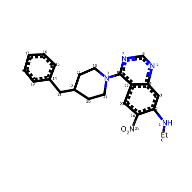 CCNc1cc2ncnc(N3CCC(Cc4ccccc4)CC3)c2cc1[N+](=O)[O-]